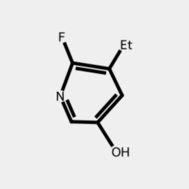 CCc1cc(O)cnc1F